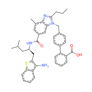 CCCc1nc2c(C)cc(C(=O)N[C@@H](Cc3sc4ccccc4c3N)CC(C)C)cc2n1Cc1ccc(-c2ccccc2C(=O)O)cc1